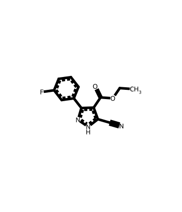 CCOC(=O)c1c(-c2cccc(F)c2)n[nH]c1C#N